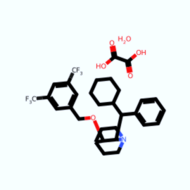 FC(F)(F)c1cc(COC2C3CCN(CC3)C2C(c2ccccc2)C2CCCCC2)cc(C(F)(F)F)c1.O.O=C(O)C(=O)O